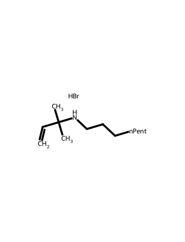 Br.C=CC(C)(C)NCCCCCCCC